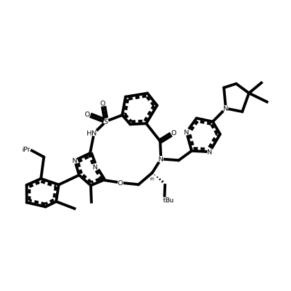 Cc1cccc(CC(C)C)c1-c1nc2nc(c1C)OC[C@@H](CC(C)(C)C)N(Cc1ncc(N3CCC(C)(C)C3)cn1)C(=O)c1cccc(c1)S(=O)(=O)N2